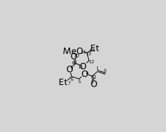 C=CC(=O)OCC(CC)OC(=O)OCC(CC)OC